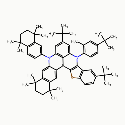 Cc1cc(C(C)(C)C)ccc1N1c2cc(C(C)(C)C)cc3c2B(c2cc4c(cc2N3c2ccc3c(c2)C(C)(C)CCC3(C)C)C(C)(C)CCC4(C)C)c2sc3ccc(C(C)(C)C)cc3c21